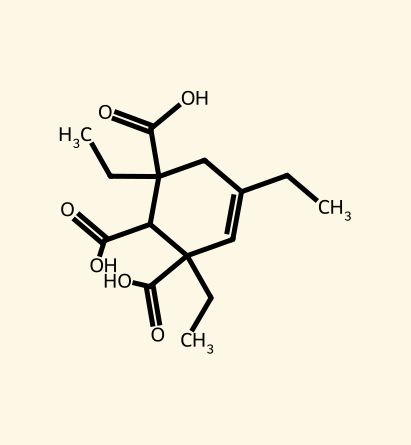 CCC1=CC(CC)(C(=O)O)C(C(=O)O)C(CC)(C(=O)O)C1